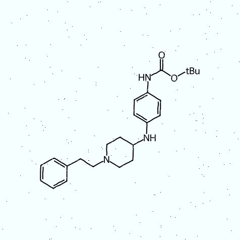 CC(C)(C)OC(=O)Nc1ccc(NC2CCN(CCc3ccccc3)CC2)cc1